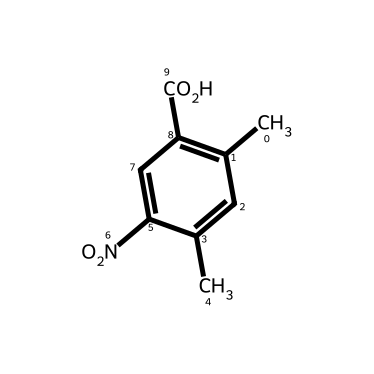 Cc1cc(C)c([N+](=O)[O-])cc1C(=O)O